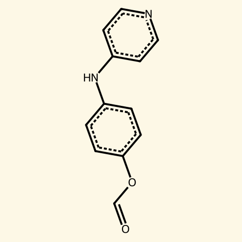 O=COc1ccc(Nc2ccncc2)cc1